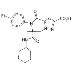 CCOC(=O)c1cc2n(n1)CC(C)(C(=O)NC1CCCCC1)N(c1ccc(CC)cc1)C2=O